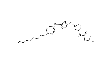 CCCCCCCCOc1ccc(Nc2nc(CN3CCC(N(C)C(=O)OC(C)(C)C)C3)cs2)cc1